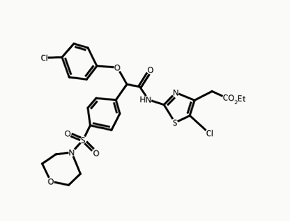 CCOC(=O)Cc1nc(NC(=O)C(Oc2ccc(Cl)cc2)c2ccc(S(=O)(=O)N3CCOCC3)cc2)sc1Cl